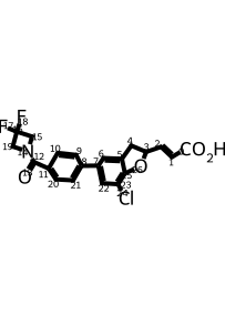 O=C(O)C=CC1Cc2cc(-c3ccc(C(=O)N4CC(F)(F)C4)cc3)cc(Cl)c2O1